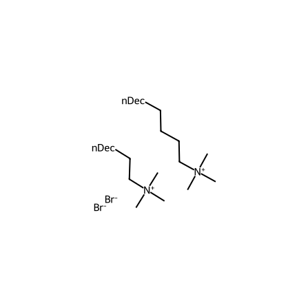 CCCCCCCCCCCCCC[N+](C)(C)C.CCCCCCCCCCCC[N+](C)(C)C.[Br-].[Br-]